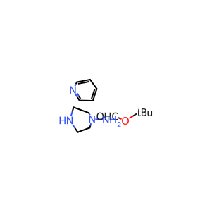 CC(C)(C)OC=O.NN1CCNCC1.c1ccncc1